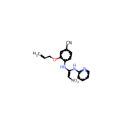 C=CCOc1cc(C#N)ccc1NC(=C[N+](=O)[O-])Nc1ccccn1